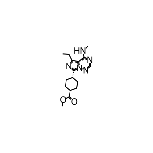 CCc1nc([C@H]2CC[C@H](C(=O)OC)CC2)n2ncnc(NC)c12